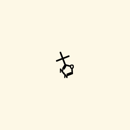 CC(C)(C)c1nnco1